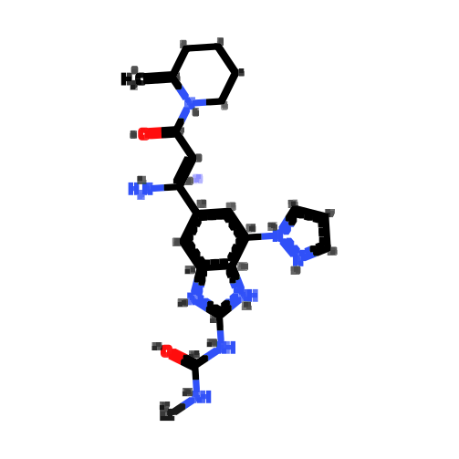 C=C1CCCCN1C(=O)/C=C(\N)c1cc(-n2cccn2)c2[nH]c(NC(=O)NCC)nc2c1